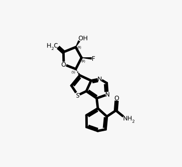 C=C1O[C@@H](c2csc3c(-c4ccccc4C(N)=O)ncnc23)[C@H](F)[C@@H]1O